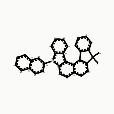 CC1(C)c2ccccc2-c2c1ccc1ccc3c(c4ccccc4n3-c3ccc4ccccc4c3)c21